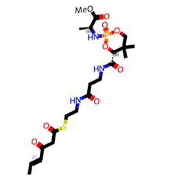 C/C=C/C(=O)CC(=O)SCCNC(=O)CCNC(=O)[C@@H]1OP(=O)(N[C@@H](C)C(=O)OC)OCC1(C)C